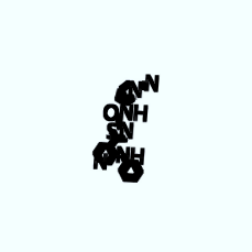 N#CN1CC2CC(NC(=O)c3ncc(-c4ccncc4Nc4ccccc4)s3)C1C2